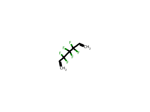 C=CC(F)(F)C(F)(F)C(F)(F)C=C